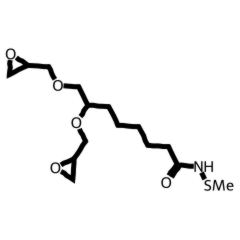 CSNC(=O)CCCCCC(COCC1CO1)OCC1CO1